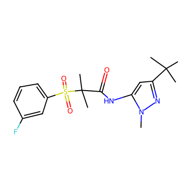 Cn1nc(C(C)(C)C)cc1NC(=O)C(C)(C)S(=O)(=O)c1cccc(F)c1